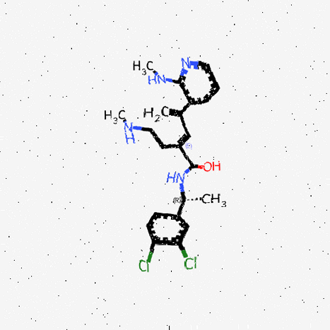 C=C(/C=C(\CCNC)C(O)N[C@H](C)c1ccc(Cl)c(Cl)c1)c1cccnc1NC